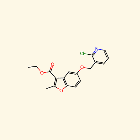 CCOC(=O)c1c(C)oc2ccc(OCc3cccnc3Cl)cc12